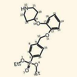 CCOP(=O)(OCC)c1ccc(COc2ccccc2OC2CCNCC2)cc1